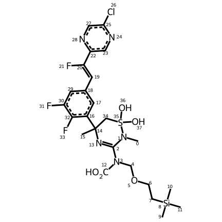 CN1C(N(COCC[Si](C)(C)C)C(=O)O)=NC(C)(c2cc(/C=C(\F)c3cnc(Cl)cn3)cc(F)c2F)CS1(O)O